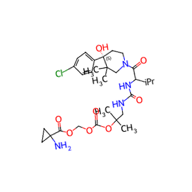 CC(C)C(NC(=O)NCC(C)(C)OC(=O)OCOC(=O)C1(N)CC1)C(=O)N1CC[C@](O)(c2ccc(Cl)cc2)C(C)(C)C1